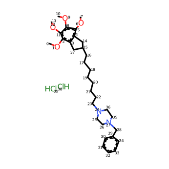 COc1c2c(c(OC)c(OC)c1OC)CC(CCCCCCCCN1CCN(Cc3ccccc3)CC1)C2.Cl.Cl